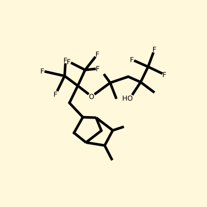 CC1C2CC(CC(OC(C)(C)CC(C)(O)C(F)(F)F)(C(F)(F)F)C(F)(F)F)C(C2)C1C